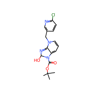 CC(C)(C)OC(=O)N1C2=CC=CN(Cc3ccc(Cl)nc3)C2=NC1O